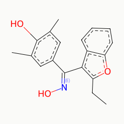 CCc1oc2ccccc2c1/C(=N/O)c1cc(C)c(O)c(C)c1